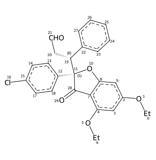 CCOc1cc(OCC)c2c(c1)O[C@](c1ccc(Cl)cc1)([C@H](CC=O)c1ccccc1)C2=O